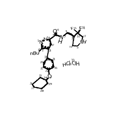 CCCCc1nnc(C(=O)NCC2CCNCC2(F)F)cc1-c1ccc(OC2CCCCC2)cc1.Cl.Cl